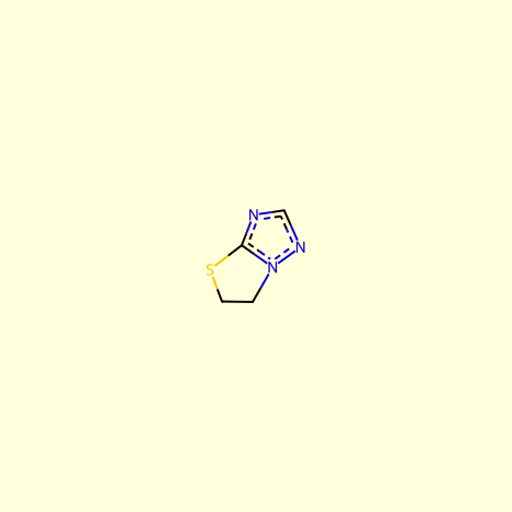 c1nc2n(n1)CCS2